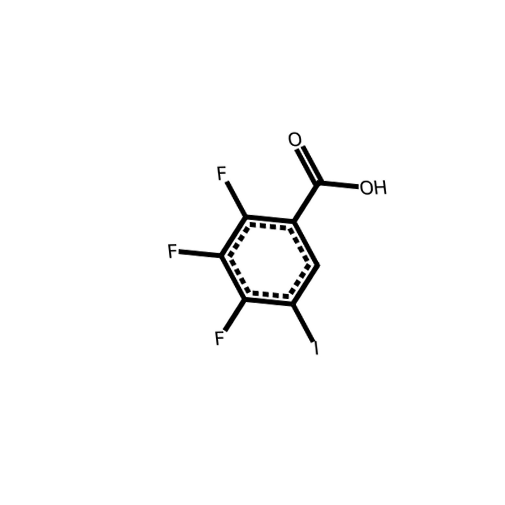 O=C(O)c1cc(I)c(F)c(F)c1F